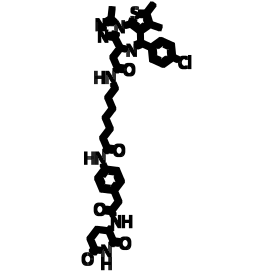 Cc1sc2c(c1C)C(c1ccc(Cl)cc1)=NC(CC(=O)NCCCCCCC(=O)Nc1ccc(CC(=O)NC3CCC(=O)NC3=O)cc1)c1nnc(C)n1-2